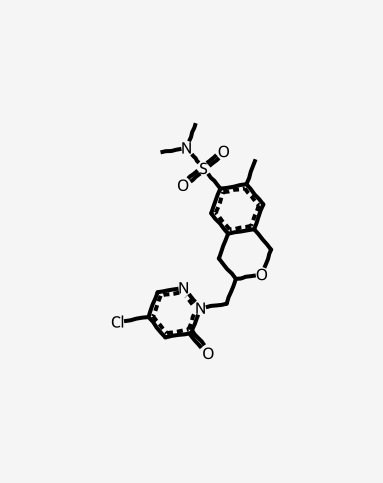 Cc1cc2c(cc1S(=O)(=O)N(C)C)CC(Cn1ncc(Cl)cc1=O)OC2